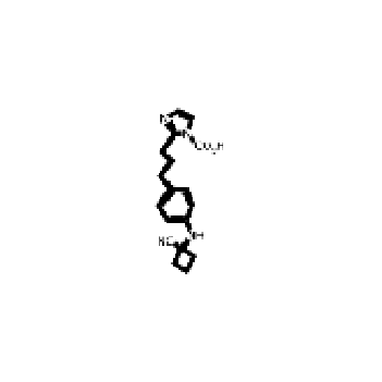 N#CC1(Nc2ccc(CCCc3nccn3C(=O)O)cc2)CCC1